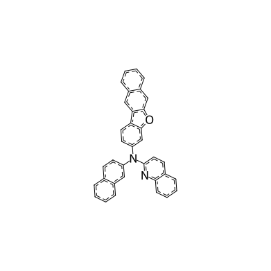 c1ccc2cc(N(c3ccc4c(c3)oc3cc5ccccc5cc34)c3ccc4ccccc4n3)ccc2c1